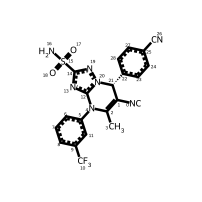 [C-]#[N+]C1=C(C)N(c2cccc(C(F)(F)F)c2)c2nc(S(N)(=O)=O)nn2[C@@H]1c1ccc(C#N)cc1